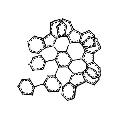 c1ccc(-c2cccc(-c3c(-c4ccncc4)c(-n4c5ccccc5c5cnccc54)c(-n4c5ccccc5c5cnccc54)c(-n4c5ccccc5c5cnccc54)c3-n3c4ccccc4c4cnccc43)n2)cc1